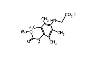 Cc1c(C)c(NC(=O)OC(C)(C)C)c(C)c(C)c1NCC(=O)O